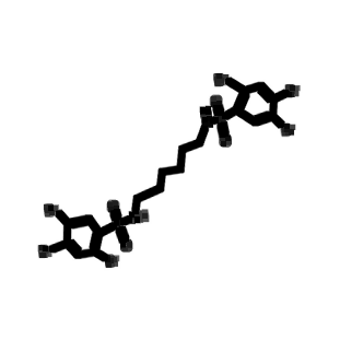 O=S(=O)(NCCCCCCNS(=O)(=O)c1cc(Br)c(Br)cc1Br)c1cc(Br)c(Br)cc1Br